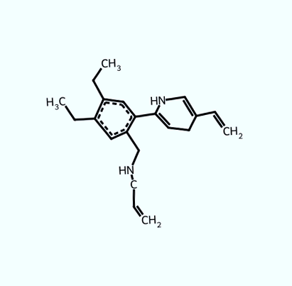 C=CCNCc1cc(CC)c(CC)cc1C1=CCC(C=C)=CN1